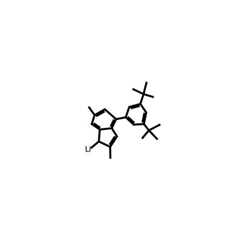 [Li][CH]1C(C)=Cc2c(-c3cc(C(C)(C)C)cc(C(C)(C)C)c3)cc(C)cc21